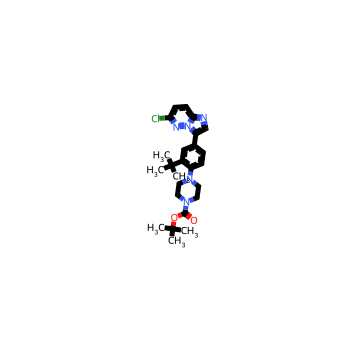 CC(C)(C)OC(=O)N1CCN(c2ccc(-c3cnc4ccc(Cl)nn34)cc2C(C)(C)C)CC1